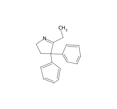 CCC1=NCCC1(c1ccccc1)c1ccccc1